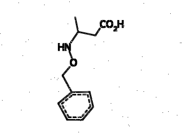 CC(CC(=O)O)NOCc1ccccc1